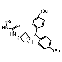 CCCCNC(=S)N[C@H]1CN[C@@H](C(c2ccc(C(C)(C)C)cc2)c2ccc(C(C)(C)C)cc2)C1